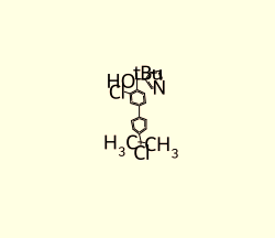 CC(C)(Cl)c1ccc(-c2ccc(C(O)(c3cccnc3)C(C)(C)C)c(Cl)c2)cc1